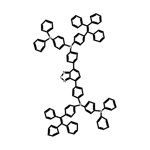 c1ccc(C(=C(c2ccccc2)c2ccc(N(c3ccc(-c4ccc(-c5ccc(N(c6ccc(C(=C(c7ccccc7)c7ccccc7)c7ccccc7)cc6)c6ccc(N(c7ccccc7)c7ccccc7)cc6)cc5)c5nsnc45)cc3)c3ccc(N(c4ccccc4)c4ccccc4)cc3)cc2)c2ccccc2)cc1